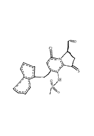 CS(=O)(=O)Nc1c(Cc2cccc3ccccc23)cc(=O)n2c1C(=S)CC2C=O